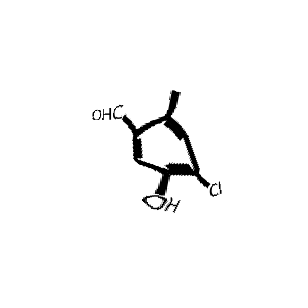 Cc1cc(Cl)c(O)cc1C=O